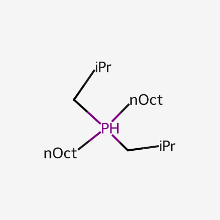 CCCCCCCC[PH](CCCCCCCC)(CC(C)C)CC(C)C